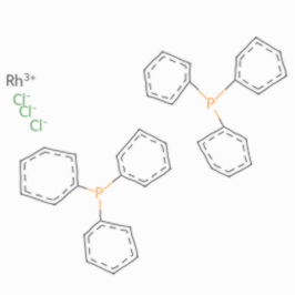 [Cl-].[Cl-].[Cl-].[Rh+3].c1ccc(P(c2ccccc2)c2ccccc2)cc1.c1ccc(P(c2ccccc2)c2ccccc2)cc1